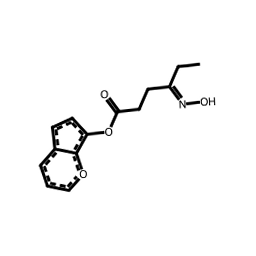 CCC(CCC(=O)Oc1ccc2cccoc1-2)=NO